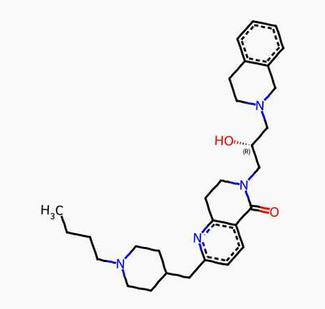 CCCCN1CCC(Cc2ccc3c(n2)CCN(C[C@H](O)CN2CCc4ccccc4C2)C3=O)CC1